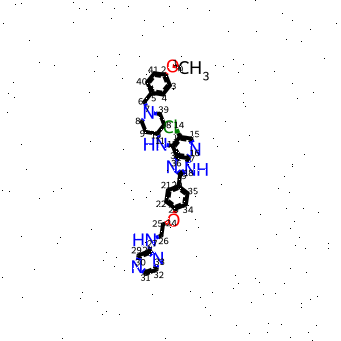 COc1ccc(CN2CCC(Nc3c(Cl)cnc4[nH]c(-c5ccc(OCCNc6cnccn6)cc5)nc34)CC2)cc1